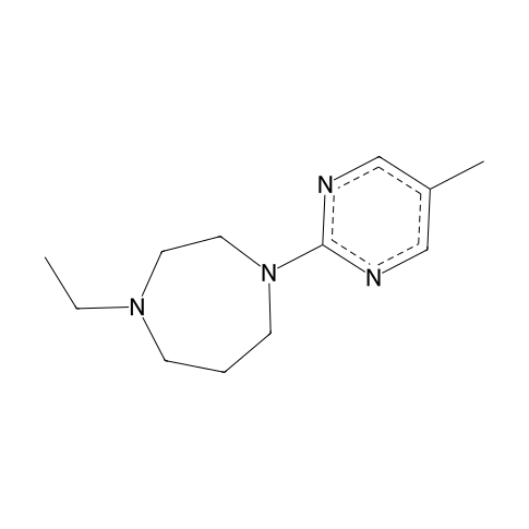 CCN1CCCN(c2ncc(C)cn2)CC1